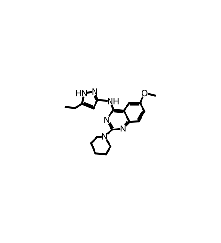 CCc1cc(Nc2nc(N3CCCCC3)nc3ccc(OC)cc23)n[nH]1